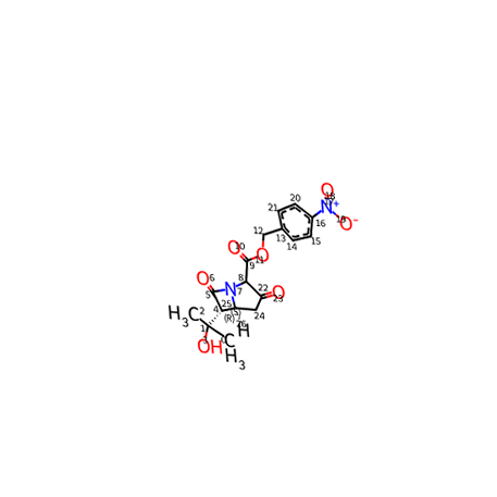 CC(C)(O)[C@@H]1C(=O)N2C(C(=O)OCc3ccc([N+](=O)[O-])cc3)C(=O)C[C@@H]12